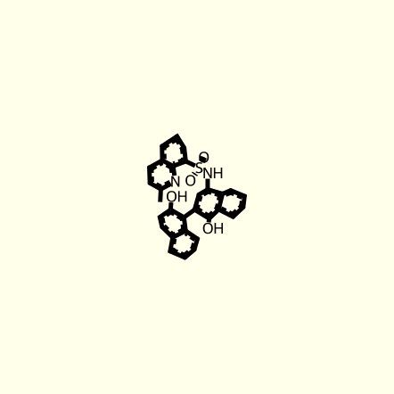 Cc1ccc2cccc(S(=O)(=O)Nc3cc(-c4c(O)ccc5ccccc45)c(O)c4ccccc34)c2n1